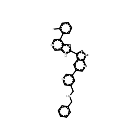 Fc1ccccc1-c1cncc2[nH]c(-c3n[nH]c4ncc(-c5cncc(CNCc6ccccc6)c5)cc34)nc12